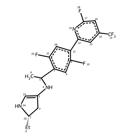 CC[C@H]1CC(NC(C)c2cc(F)c(-c3cc(C(F)(F)F)cc(F)n3)cc2F)=CN1